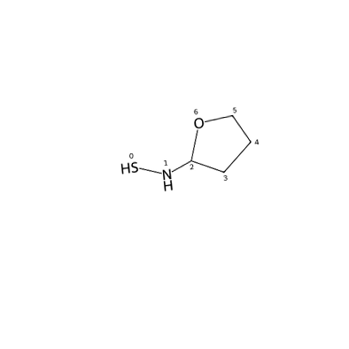 SNC1CCCO1